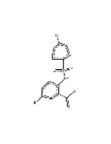 O=C(Cl)c1cc(Br)ccc1NS(=O)(=O)c1ccc(Cl)cc1